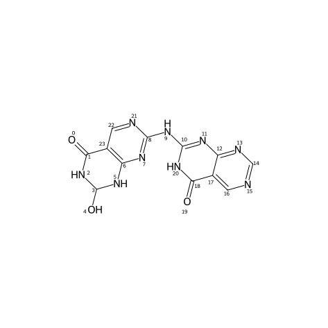 O=C1NC(O)Nc2nc(Nc3nc4ncncc4c(=O)[nH]3)ncc21